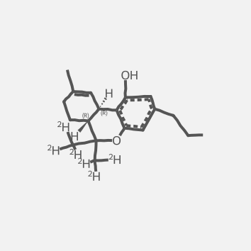 [2H]C([2H])([2H])C1(C([2H])([2H])[2H])Oc2cc(CCC)cc(O)c2[C@@H]2C=C(C)CC[C@H]21